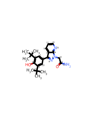 CC(C)(C)c1cc(-c2nn(CC(N)=O)c3ncccc23)cc(C(C)(C)C)c1O